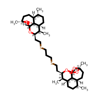 C[C@H]1[C@@H](CCSCCCSCC[C@H]2O[C@@H]3O[C@]4(C)CC[C@H]5[C@H](C)CC[C@@H]([C@H]2C)[C@@]35OO4)O[C@@H]2O[C@]3(C)CC[C@H]4[C@H](C)CC[C@@H]1[C@@]24OO3